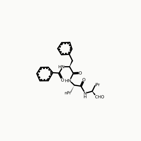 CCC[C@H](NC(=O)[C@H](Cc1ccccc1)NC(=O)c1ccccc1)C(=O)N[C@H](C=O)C(C)C